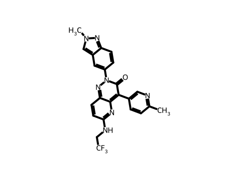 Cc1ccc(-c2c(=O)n(-c3ccc4nn(C)cc4c3)nc3ccc(NCC(F)(F)F)nc23)cn1